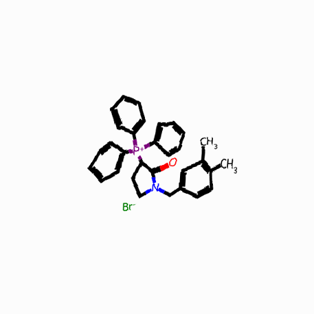 Cc1ccc(CN2CCC([P+](c3ccccc3)(c3ccccc3)c3ccccc3)C2=O)cc1C.[Br-]